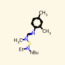 CCCCN(CC)SN(C)C=Nc1ccc(C)cc1C